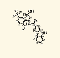 COc1ccc(C(F)(F)F)cc1C(CC(=O)O)NC(=O)c1cc2[nH]c3ccccc3n2n1